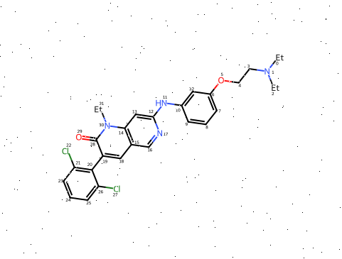 CCN(CC)CCOc1cccc(Nc2cc3c(cn2)cc(-c2c(Cl)cccc2Cl)c(=O)n3CC)c1